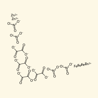 O=C([O-])C(=O)[O-].O=C([O-])C(=O)[O-].O=C([O-])C(=O)[O-].O=C([O-])C(=O)[O-].O=[N+]([O-])[O-].O=[N+]([O-])[O-].O=[N+]([O-])[O-].O=[N+]([O-])[O-].[Fe+2].[Fe+2].[Fe+2].[Zn+2].[Zn+2].[Zn+2]